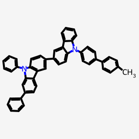 Cc1ccc(-c2ccc(-n3c4ccccc4c4cc(-c5ccc6c(c5)c5ccc(-c7ccccc7)cc5n6-c5ccccc5)ccc43)cc2)cc1